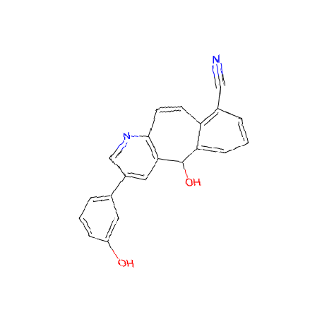 N#Cc1cccc2c1C=Cc1ncc(-c3cccc(O)c3)cc1C2O